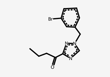 CCCC(=O)c1ncn(Cc2cccc(Br)c2)n1